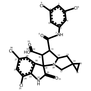 O=C(Nc1cc(Cl)cc(Cl)c1)C1C2CC3(CC3)CN2C2(C(=O)Nc3c(Cl)cc(Cl)cc32)C1C(=O)O